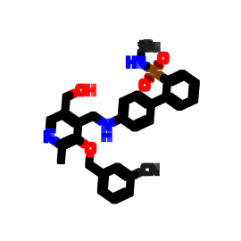 Cc1ncc(CO)c(CNc2ccc(-c3ccccc3S(=O)(=O)NC(C)(C)C)cc2)c1OCc1cccc(C#N)c1